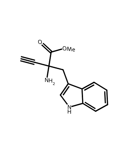 C#CC(N)(Cc1c[nH]c2ccccc12)C(=O)OC